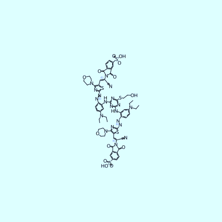 CCN(CC)c1ccc(/N=N/c2nc(N3CCOCC3)c(/C=C(\C#N)N3C(=O)c4ccc(S(=O)(=O)O)cc4C3=O)s2)c(Nc2nc(Nc3cc(N(CC)CC)ccc3/N=N/c3nc(N4CCOCC4)c(/C=C(\C#N)N4C(=O)c5ccc(S(=O)(=O)O)cc5C4=O)s3)nc(SCCO)n2)c1